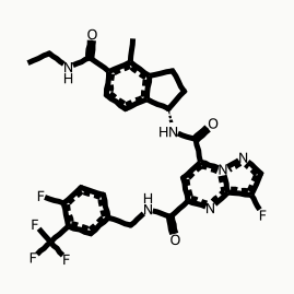 CCNC(=O)c1ccc2c(c1C)CC[C@@H]2NC(=O)c1cc(C(=O)NCc2ccc(F)c(C(F)(F)F)c2)nc2c(F)cnn12